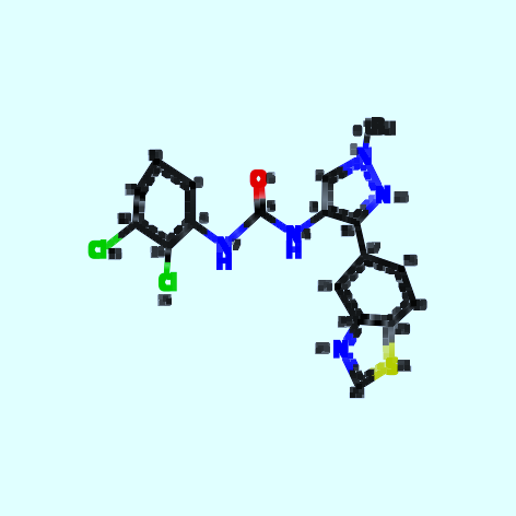 CC(C)(C)n1cc(NC(=O)Nc2cccc(Cl)c2Cl)c(-c2ccc3scnc3c2)n1